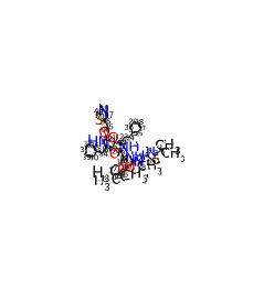 CC(C)c1nc(CN(C)C(=O)N[C@@H](COC(C)(C)C)C(=O)N[C@H](CCc2ccccc2)CC[C@@H](Cc2ccccc2)NC(=O)OCc2cncs2)cs1